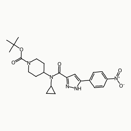 CC(C)(C)OC(=O)N1CCC(N(C(=O)c2cc(-c3ccc([N+](=O)[O-])cc3)[nH]n2)C2CC2)CC1